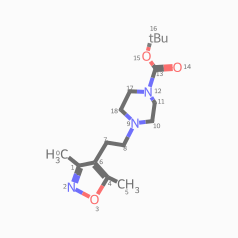 Cc1noc(C)c1CCN1CCN(C(=O)OC(C)(C)C)CC1